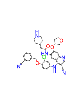 N#Cc1cccc(COc2ccc(Nc3c(C#N)cnc4cc(OC5CCOC5)c(NC(=O)C=C5CCNCC5)cc34)cc2Cl)c1